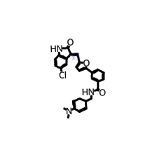 CN(C)C1=CCC(CNC(=O)c2cccc(-c3ccc(/C=C4/C(=O)Nc5ccc(Cl)cc54)o3)c2)C=C1